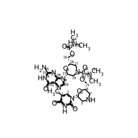 Cc1cn([C@H]2CNC[C@@H](COP(=O)(N(C)C)N3C[C@@H](CO[PH](=O)N(C)C)O[C@@H](n4cnc5c(=O)[nH]c(N)nc54)C3)O2)c(=O)[nH]c1=O